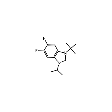 CC(C)N1CN(C(C)(C)C)c2cc(F)c(F)cc21